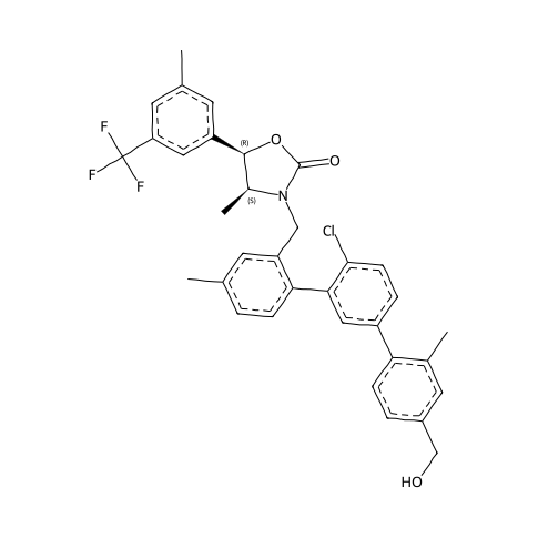 Cc1cc([C@H]2OC(=O)N(Cc3cc(C)ccc3-c3cc(-c4ccc(CO)cc4C)ccc3Cl)[C@H]2C)cc(C(F)(F)F)c1